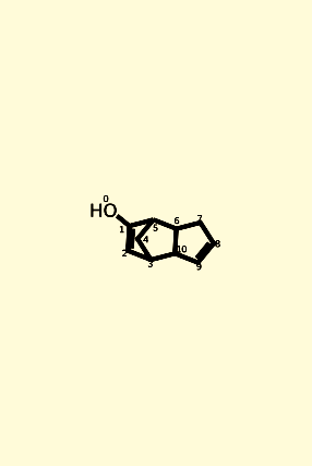 OC1=CC2CC1C1CC=CC21